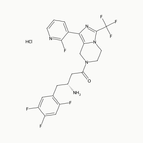 Cl.N[C@@H](CC(=O)N1CCn2c(C(F)(F)F)nc(-c3cccnc3F)c2C1)Cc1cc(F)c(F)cc1F